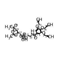 C#CCOc1cc(C(=O)NCCOP(=O)(O)OC[C@@H](COC(C)=O)OC(C)=O)cc(OCC#C)c1OCC#C